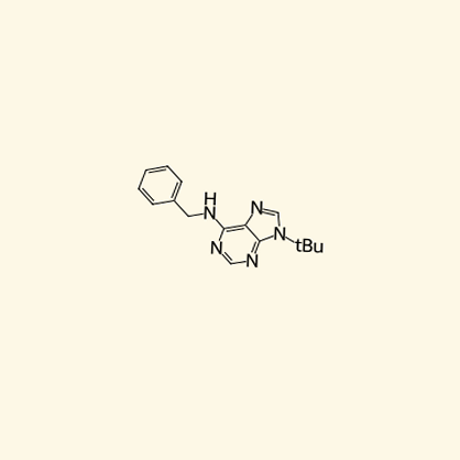 CC(C)(C)n1cnc2c(NCc3ccccc3)ncnc21